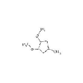 COC1CC(C)CC1OC